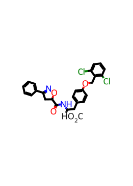 O=C(O)C(Cc1ccc(OCc2c(Cl)cccc2Cl)cc1)NC(=O)C1CC(c2ccccc2)=NO1